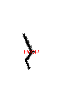 CCCCCCCC/C=C\CCCCCCCC(O)(O)C=CCCCCCCCCCCCCCCCC